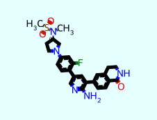 CN([C@H]1CCN(c2ccc(-c3cnc(N)c(-c4ccc5c(c4)CCNC5=O)c3)c(F)c2)C1)S(C)(=O)=O